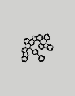 c1ccc(-c2ccc(N(c3cc4c(oc5cccc(-c6cccc7c8ccccc8n(-c8ccccc8)c67)c54)c4ccccc34)c3cccc4c3oc3ccccc34)cc2)cc1